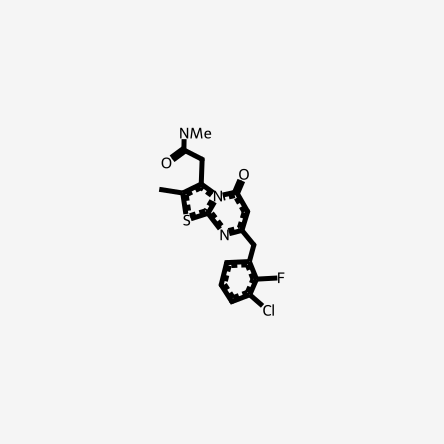 CNC(=O)Cc1c(C)sc2nc(Cc3cccc(Cl)c3F)cc(=O)n12